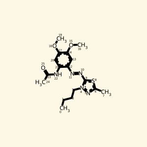 CCCC[n+]1nc(C)sc1N=Nc1cc(OC)c(OC)cc1NC(C)=O